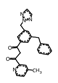 Cc1ccnc(C(=O)CC(=O)c2cc(Cc3ccccc3)cc(Cn3nccn3)c2)c1